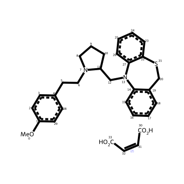 COc1ccc(CCN2CCCC2CN2c3ccccc3CSc3ccccc32)cc1.O=C(O)/C=C\C(=O)O